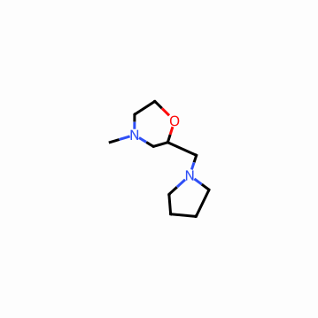 CN1CCOC(CN2CCCC2)C1